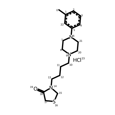 Cc1cccc(N2CCN(CCCCN3CSCC3=O)CC2)c1.Cl